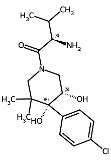 CC(C)[C@@H](N)C(=O)N1C[C@H](O)[C@@](O)(c2ccc(Cl)cc2)C(C)(C)C1